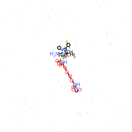 CC(C)(C)C(c1cc(-c2cc(F)ccc2F)cn1Cc1ccccc1)N(CCCN)C(=O)CSCC(NC(=O)CCOCCOCCOCCOCCNC(=O)CN1C(=O)C=CC1=O)C(=O)O